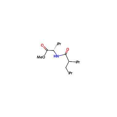 COC(=O)[C@@H](NC(=O)C(CC(C)C)C(C)C)C(C)C